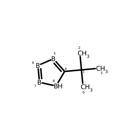 CC(C)(C)C1=BB=BB1